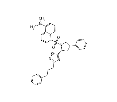 CN(C)c1cccc2c(S(=O)(=O)N3C[C@H](c4ccccc4)C[C@H]3c3nc(CCCc4ccccc4)no3)cccc12